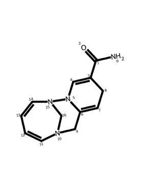 NC(=O)C1=CN2C(=CC1)CN1C=CC=CN2C1